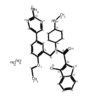 CCOc1ccc(-c2cnc(N)nc2)cc1CN(C(=O)c1sc2ccccc2c1Cl)C1CCC(NC)CC1.Cl.Cl